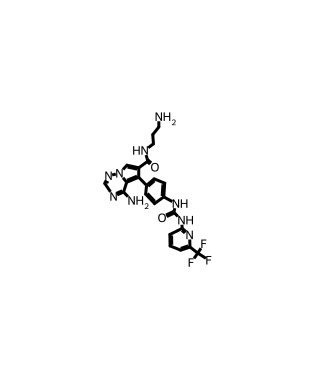 NCCCNC(=O)c1cn2ncnc(N)c2c1-c1ccc(NC(=O)Nc2cccc(C(F)(F)F)n2)cc1